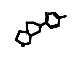 Cc1ccc(N2CCN3CCOCC3C2)nc1